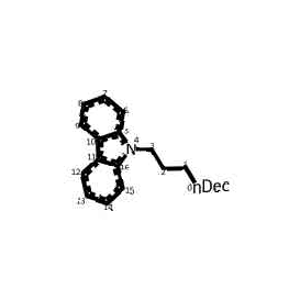 CCCCCCCCCCCCCn1c2ccccc2c2ccccc21